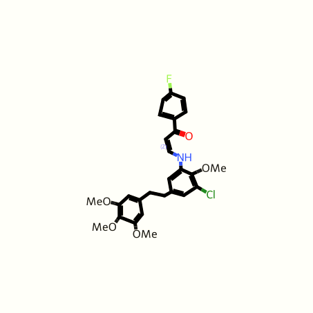 COc1cc(CCc2cc(Cl)c(OC)c(N/C=C\C(=O)c3ccc(F)cc3)c2)cc(OC)c1OC